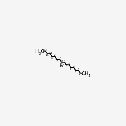 CCCCCCCCCCCCCCCCCC.[K]